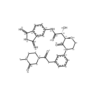 CN1CCN(C(=O)Cc2cccc(N3CCO[C@H]([C@@H](O)C(=O)Nc4ccc5c(c4)C(=N)NC5=N)C3=O)c2)CC1=O